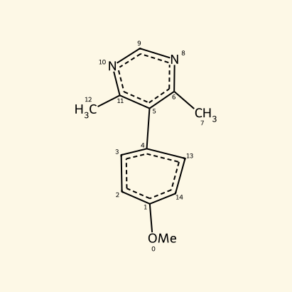 COc1ccc(-c2c(C)ncnc2C)cc1